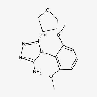 COc1cccc(OC)c1-n1c(N)nnc1[C@H]1CCOC1